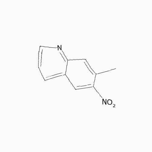 Cc1cc2ncccc2cc1[N+](=O)[O-]